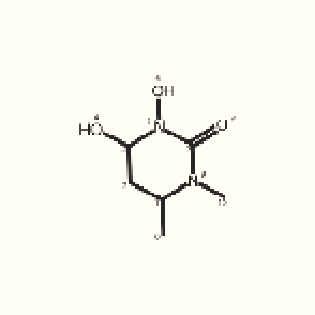 CC1CC(O)N(O)C(=O)N1C